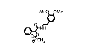 COc1ccc(CCNC(=O)C(OS(C)(=O)=O)c2ccccc2)cc1OC